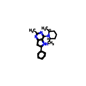 Cc1nc(N2[C@H](C)CCC[C@@H]2C)c2[nH]c(-c3ccccc3)cc2n1